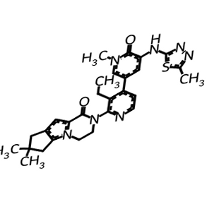 CCc1c(-c2cc(Nc3nnc(C)s3)c(=O)n(C)c2)ccnc1N1CCn2c(cc3c2CC(C)(C)C3)C1=O